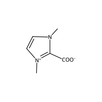 Cn1cc[n+](C)c1C(=O)[O-]